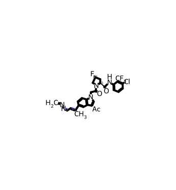 C=N/N=C\C=C(/C)c1ccc2c(c1)c(C(C)=O)cn2CC(=O)N1C[C@H](F)C[C@H]1C(=O)Nc1cccc(Cl)c1C(F)(F)F